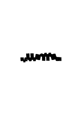 CNSNS[C@H]1C[C@@H](CNSNSC2CC(O)C2)C1